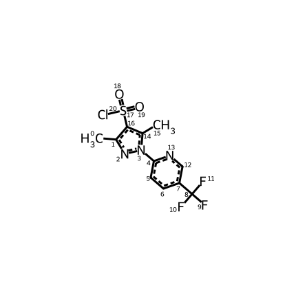 Cc1nn(-c2ccc(C(F)(F)F)cn2)c(C)c1S(=O)(=O)Cl